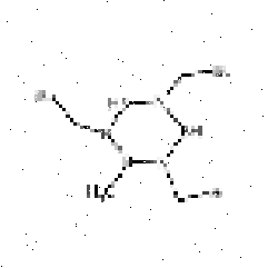 CCC(C)CN1BN(CC(C)CC)B(C)N(CC(C)CC)B1